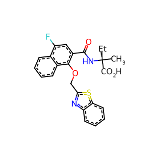 CC[C@](C)(NC(=O)c1cc(F)c2ccccc2c1OCc1nc2ccccc2s1)C(=O)O